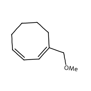 COC/C1=C/C=C\CCCC1